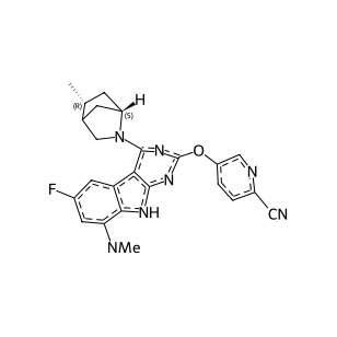 CNc1cc(F)cc2c1[nH]c1nc(Oc3ccc(C#N)nc3)nc(N3CC4C[C@@H]3C[C@H]4C)c12